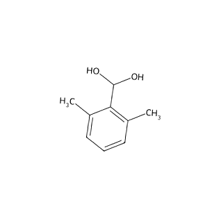 Cc1cccc(C)c1C(O)O